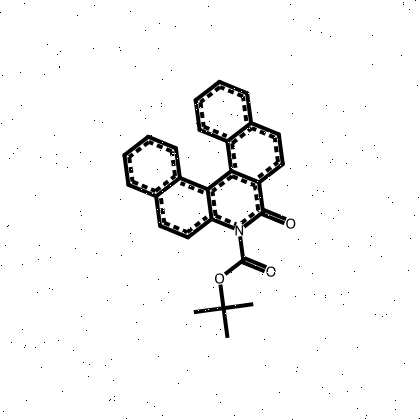 CC(C)(C)OC(=O)n1c(=O)c2ccc3ccccc3c2c2c3ccccc3ccc21